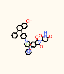 O=C1CCC(N2C(=O)c3cc(F)c(N4CC5CC(C4)N5CC4CCN(c5ccc([C@@H]6c7ccc(O)cc7CC[C@@H]6c6ccccc6)cc5)CC4)cc3C2=O)C(=O)N1